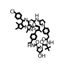 CC1=C(C)C2=C(C1)n1c(C)nnc1[C@H](CC(=O)N[C@@H]1CCN(c3ccc(CC(=O)N[C@H](C(=O)N4C[C@H](O)C[C@H]4C(=O)NC(C)c4ccc(-c5sccc5C)cc4)C(C)(C)C)cc3)C1)N=C2c1ccc(Cl)cc1